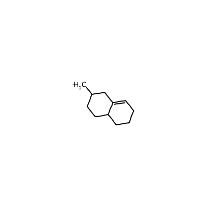 [CH2]C1CCC2CCCC=C2C1